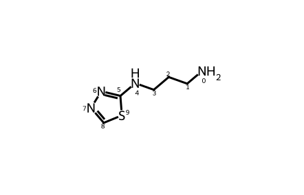 NCCCNc1nncs1